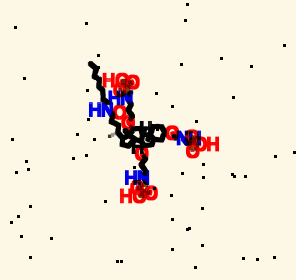 CCCCCCCCNC(=O)CC[C@@H](C)C1CC[C@H]2C3[C@H](OCCCNCS(=O)(=O)O)CC4CC(OCNCS(=O)(=O)O)CCC4(C)[C@H]3C[C@H](OCCCNCS(=O)(=O)O)C12C